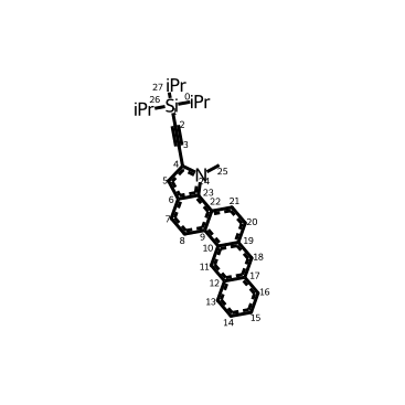 CC(C)[Si](C#Cc1cc2ccc3c4cc5ccccc5cc4ccc3c2n1C)(C(C)C)C(C)C